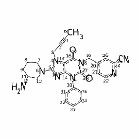 CC#CCn1c(N2CCCC(N)C2)nc2c1c(=O)n(Cc1ccnc(C#N)c1)c(=O)n2-c1ccccc1